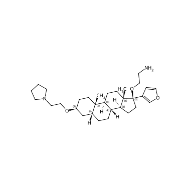 C[C@]12CC[C@H](OCCN3CCCC3)C[C@H]1CC[C@@H]1[C@@H]2CC[C@@]2(C)[C@H]1CC[C@@]2(OCCN)c1ccoc1